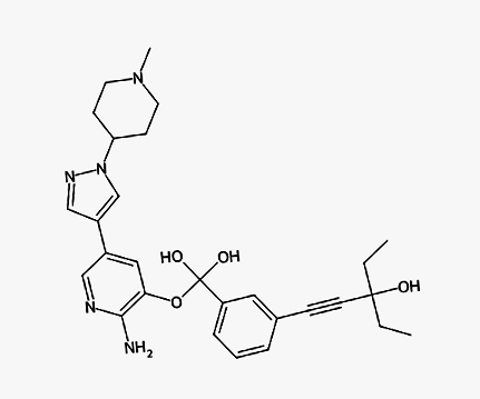 CCC(O)(C#Cc1cccc(C(O)(O)Oc2cc(-c3cnn(C4CCN(C)CC4)c3)cnc2N)c1)CC